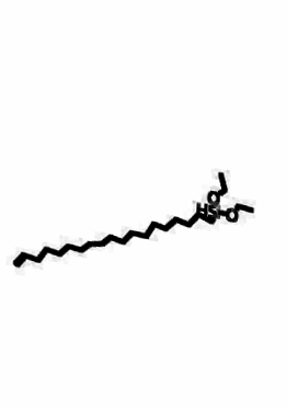 C=CCCCCCCCCCCCCCCCCC[SiH](OCC)OCC